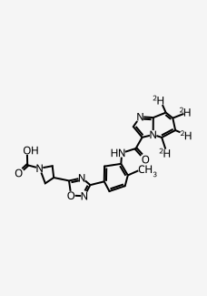 [2H]c1c([2H])c([2H])n2c(C(=O)Nc3cc(-c4noc(C5CN(C(=O)O)C5)n4)ccc3C)cnc2c1[2H]